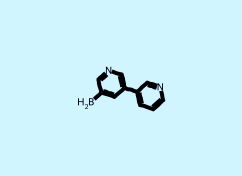 Bc1cncc(-c2cccnc2)c1